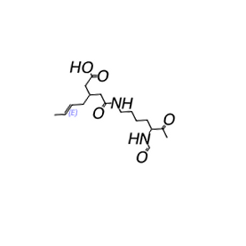 C/C=C/CC(CC(=O)O)CC(=O)NCCCCC(NC=O)C(C)=O